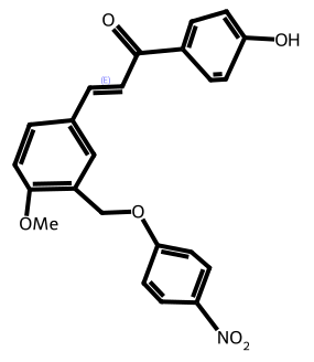 COc1ccc(/C=C/C(=O)c2ccc(O)cc2)cc1COc1ccc([N+](=O)[O-])cc1